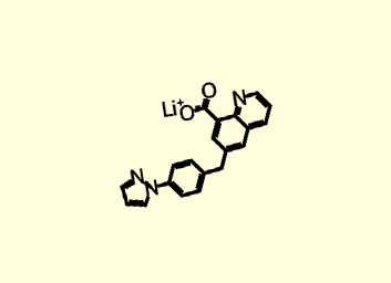 O=C([O-])c1cc(Cc2ccc(-n3cccn3)cc2)cc2cccnc12.[Li+]